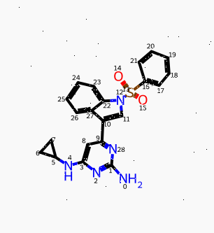 Nc1nc(NC2CC2)cc(-c2cn(S(=O)(=O)c3ccccc3)c3ccccc23)n1